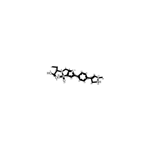 CCC(C(=O)O)N1Cc2sc(-c3ccc(C4=CN(C)NC4)cc3)cc2S1(=O)=O